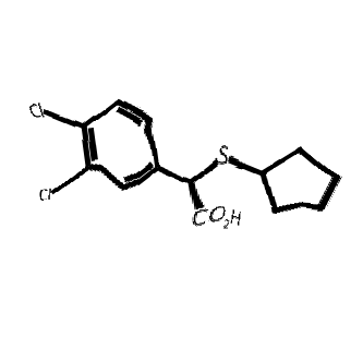 O=C(O)C(SC1CCCC1)c1ccc(Cl)c(Cl)c1